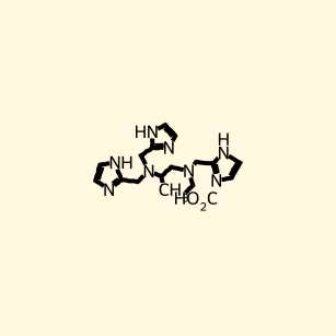 CC(CN(CC(=O)O)Cc1ncc[nH]1)N(Cc1ncc[nH]1)Cc1ncc[nH]1